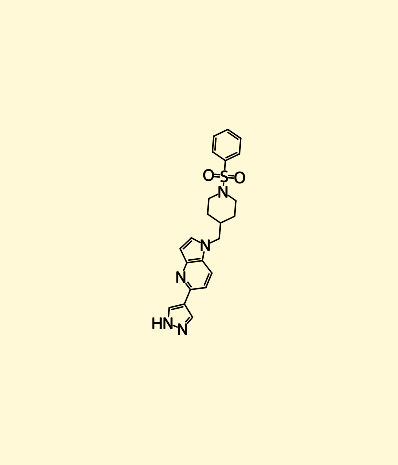 O=S(=O)(c1ccccc1)N1CCC(Cn2ccc3nc(-c4cn[nH]c4)ccc32)CC1